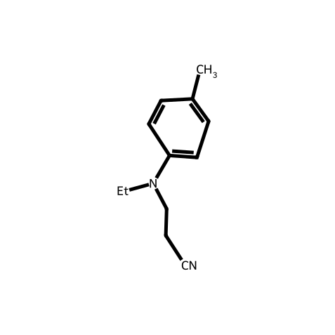 CCN(CCC#N)c1ccc(C)cc1